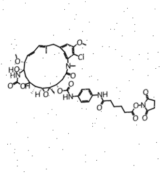 COc1cc2cc(c1Cl)N(C)C(=O)C[C@H](OC(=O)Nc1ccc(NC(=O)CCCCC(=O)ON3C(=O)CCC3=O)cc1)[C@]1(C)O[C@H]1[C@H](C)[C@@H]1C[C@@](O)(NC(=O)O1)[C@H](OC)/C=C/C=C(\C)C2